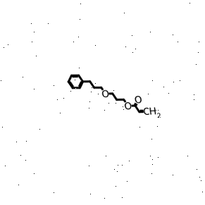 C=CC(=O)OCCCOCCCc1ccccc1